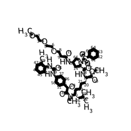 COCCOCCOCCC(=O)N[C@@H]1C[C@@H](C(=O)N[C@@H](CCCC(=O)[C@H](CC(C)C)N(C)C(=O)Cc2ccc(NC(=O)Nc3ccccc3C)cc2)C(=O)OC)N(S(=O)(=O)c2ccccc2)C1